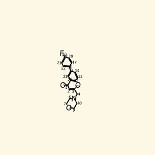 O=c1cc(CN2CCOCC2)oc2ccc(-c3ccc(F)cc3)cc12